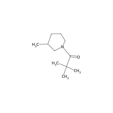 CC1CCCN(C(=O)C(C)(C)C)C1